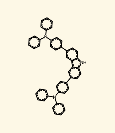 c1ccc(N(c2ccccc2)c2ccc(-c3ccc4[nH]c5ccc(-c6ccc(N(c7ccccc7)c7ccccc7)cc6)cc5c4c3)cc2)cc1